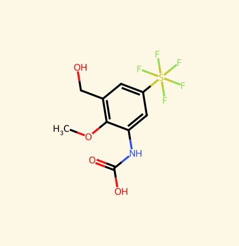 COc1c(CO)cc(S(F)(F)(F)(F)F)cc1NC(=O)O